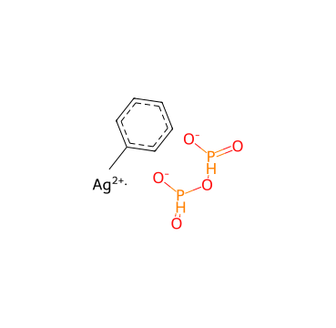 Cc1ccccc1.O=[PH]([O-])O[PH](=O)[O-].[Ag+2]